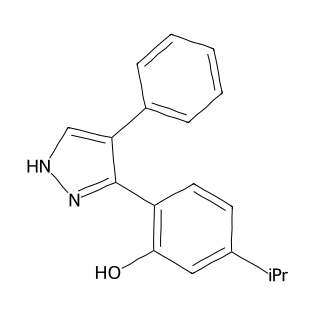 CC(C)c1ccc(-c2n[nH]cc2-c2ccccc2)c(O)c1